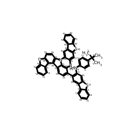 CC(C)(C)c1ccc(Nc2cc3sc4ccccc4c3cc2-c2ccc3c4c5c(ccc4n4c3c2Bc2cc3sc6ccccc6c3cc2-4)oc2ccccc25)cc1